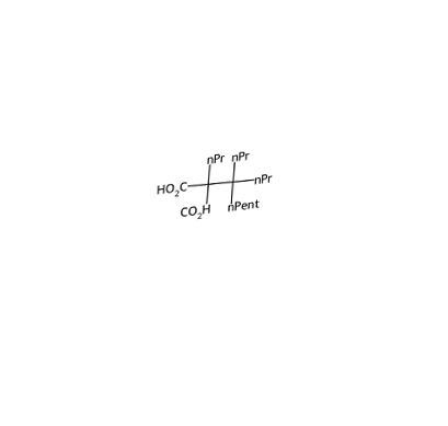 CCCCCC(CCC)(CCC)C(CCC)(C(=O)O)C(=O)O